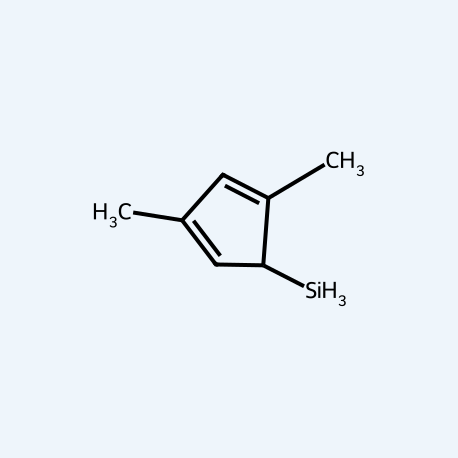 CC1=CC([SiH3])C(C)=C1